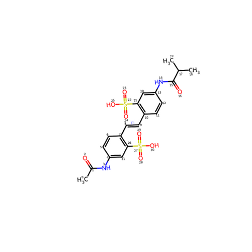 CC(=O)Nc1ccc(/C=C/c2ccc(NC(=O)C(C)C)cc2S(=O)(=O)O)c(S(=O)(=O)O)c1